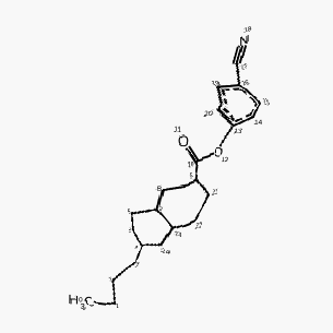 CCCCC1CCC2CC(C(=O)Oc3ccc(C#N)cc3)CCC2C1